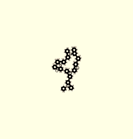 c1ccc(-n2c3ccccc3c3cc(-c4ccc5c(c4)c4ccccc4n5-c4ccc5oc6cc(-c7cccc(-c8cc(-n9c%10ccccc%10c%10cc(-c%11ccc%12c(c%11)c%11ccccc%11n%12-c%11cccc%12oc%13ccccc%13c%11%12)ccc%109)c9ccccc9c8)c7)ccc6c5c4)ccc32)cc1